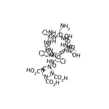 CC(O)C(CO)NC(=O)C1CSSCC(NC(=O)C(Cc2ccccc2)NC(=O)CN2CCN(CC(=O)O)CCN(CC(=O)O)CCN(CC(=O)O)CC2)C(=O)NC(Cc2cccc3ccccc23)C(=O)NC(Cc2c[nH]c3ccccc23)C(=O)NC(CCCCN)C(=O)NC(C(C)O)C(=O)N1